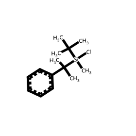 CC(C)(C)[Si](C)(Cl)C(C)(C)c1ccccc1